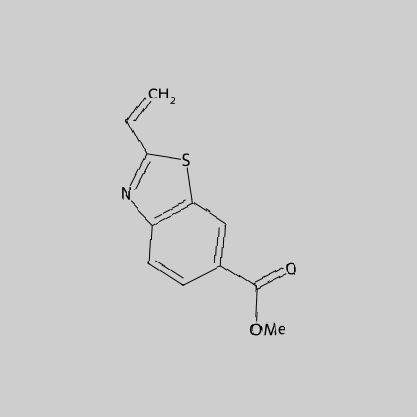 C=Cc1nc2ccc(C(=O)OC)cc2s1